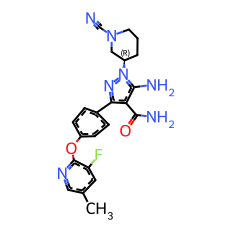 Cc1cnc(Oc2ccc(-c3nn([C@@H]4CCCN(C#N)C4)c(N)c3C(N)=O)cc2)c(F)c1